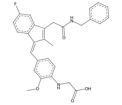 COc1cc(C=C2C(C)=C(CC(=O)NCc3ccccc3)c3cc(F)ccc32)ccc1NCC(=O)O